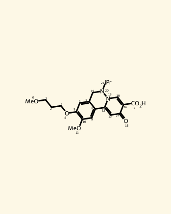 COCCCOc1cc2c(cc1OC)-c1cc(=O)c(C(=O)O)cn1N(C(C)C)C2